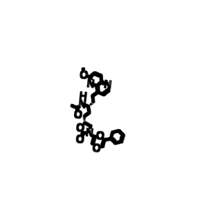 COc1ccc2nccc(CC[C@H](CC[C@@H]3CN(C4=COC=C(C5=CC=CCC5)O4)C(=O)O3)NC(C)=O)c2n1